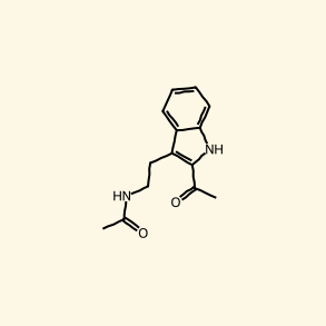 CC(=O)NCCc1c(C(C)=O)[nH]c2ccccc12